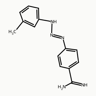 Cc1cccc(N/N=N/c2ccc(C(=N)N)cc2)c1